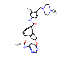 COC(=O)Nc1cc(Oc2ccc3c(C(=O)Nc4ccc(CN5CCN(C)CC5)c(C(F)(F)F)c4)cccc3c2)ncn1